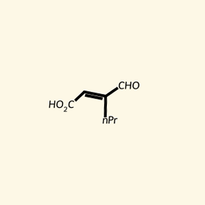 CCC/C(C=O)=C\C(=O)O